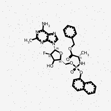 Cc1nc(N)c2ncn([C@@H]3O[C@H](COP(=O)(N[C@@H](C)C(=O)OCc4ccccc4)Oc4cccc5ccccc45)C(O)[C@H]3F)c2n1